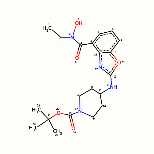 CCN(O)C(=O)c1cccc2oc(NC3CCN(C(=O)OC(C)(C)C)CC3)nc12